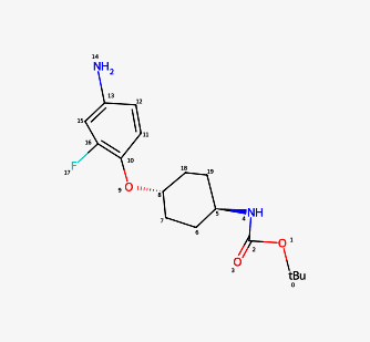 CC(C)(C)OC(=O)N[C@H]1CC[C@H](Oc2ccc(N)cc2F)CC1